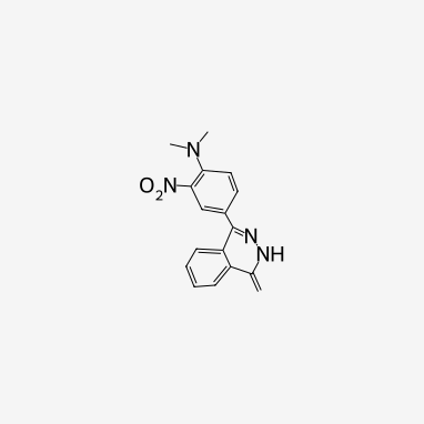 C=C1NN=C(c2ccc(N(C)C)c([N+](=O)[O-])c2)c2ccccc21